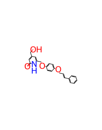 O=c1cc(CO)cc(COc2ccc(OCC=Cc3ccccc3)cc2)[nH]1